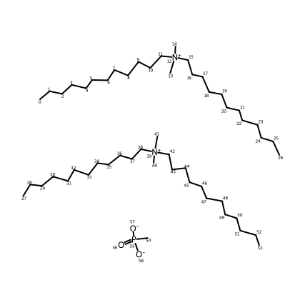 CCCCCCCCCCCC[N+](C)(C)CCCCCCCCCCCC.CCCCCCCCCCCC[N+](C)(C)CCCCCCCCCCCC.CP(=O)([O-])[O-]